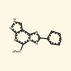 CCCCCc1nc2n[nH]cc2c2nc(-c3ccccc3)nn12